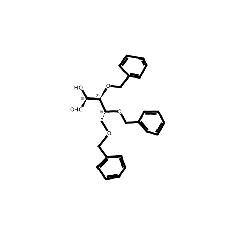 O=C[C@@H](O)[C@@H](OCc1ccccc1)[C@@H](COCc1ccccc1)OCc1ccccc1